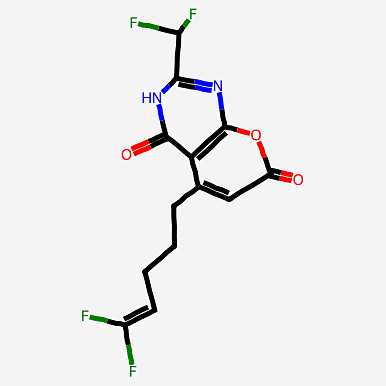 O=c1cc(CCCC=C(F)F)c2c(=O)[nH]c(C(F)F)nc2o1